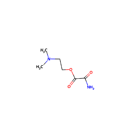 CN(C)CCOC(=O)C(N)=O